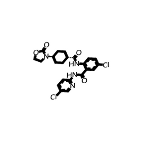 O=C(Nc1ccc(Cl)cn1)c1cc(Cl)ccc1NC(=O)[C@H]1CC[C@H](N2CCOC2=O)CC1